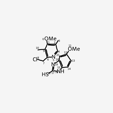 COc1c(C)cnc(CCl)c1C.COc1ccc2[nH]c(S)nc2c1